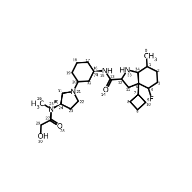 CC1CCC(F)C2(C3CCC3)CC(C(=O)N[C@@H]3CCCC(N4CC[C@@H](N(C)C(=O)CO)C4)C3)NC12